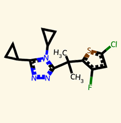 CC(C)(c1sc(Cl)cc1F)c1nnc(C2CC2)n1C1CC1